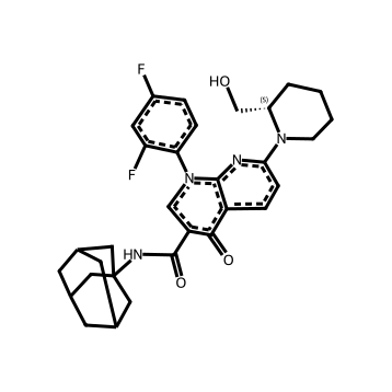 O=C(NC12CC3CC(CC(C3)C1)C2)c1cn(-c2ccc(F)cc2F)c2nc(N3CCCC[C@H]3CO)ccc2c1=O